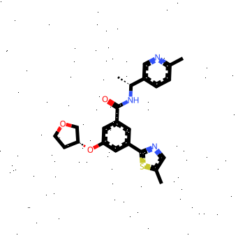 Cc1ccc([C@@H](C)NC(=O)c2cc(O[C@@H]3CCOC3)cc(-c3ncc(C)s3)c2)cn1